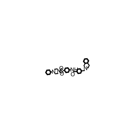 O=C(Nc1ccc(S(=O)(=O)N2CCN(c3ccccc3)CC2)cc1)c1ccc(CN2CCc3ccccc3C2)cc1